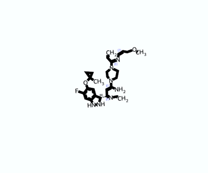 C=C/N=C(\C=C(/N)N1CCN(/C(C=C)=N/C=C\COC)CC1)[C@@H]1NNc2cc(F)c(OC3(C)CC3)cc21